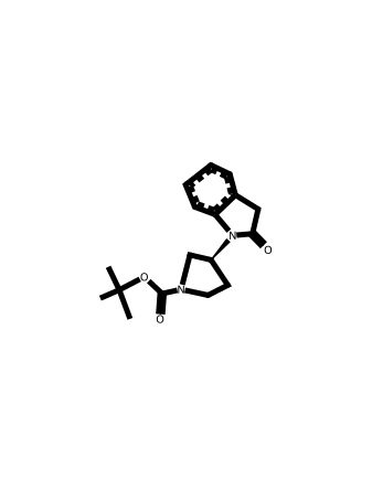 CC(C)(C)OC(=O)N1CC[C@H](N2C(=O)Cc3ccccc32)C1